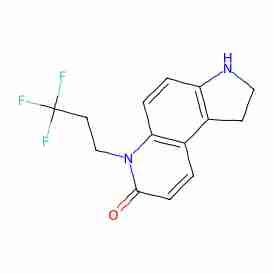 O=c1ccc2c3c(ccc2n1CCC(F)(F)F)NCC3